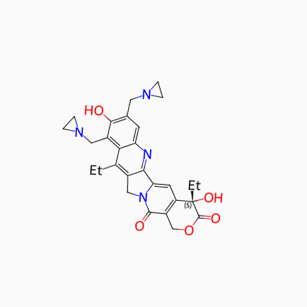 CCc1c2c(nc3cc(CN4CC4)c(O)c(CN4CC4)c13)-c1cc3c(c(=O)n1C2)COC(=O)[C@]3(O)CC